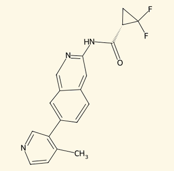 Cc1ccncc1-c1ccc2cc(NC(=O)[C@@H]3CC3(F)F)ncc2c1